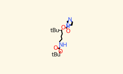 CC(C)(C)OC(=O)NCCCC[C@H](OC(=O)n1ccnc1)C(C)(C)C